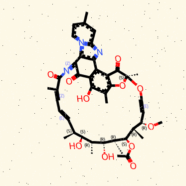 CO[C@H]1/C=C/O[C@@]2(C)Oc3c(C)c(O)c4c(c3C2=O)-c2nc3cc(C)ccn3c2/C(=N/C(=O)/C(C)=C\C=C\[C@H](C)[C@H](O)[C@@H](C)[C@@H](O)[C@@H](C)[C@H](OC(C)=O)[C@@H]1C)C4=O